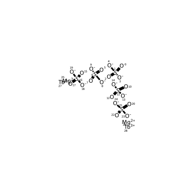 O=S(=O)([O-])[O-].O=S(=O)([O-])[O-].O=S(=O)([O-])[O-].O=S(=O)([O-])[O-].O=S(=O)([O-])[O-].[Mg+2].[Mg+2].[Tb+3].[Tb+3]